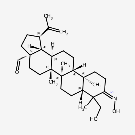 C=C(C)[C@@H]1CC[C@]2(C=O)CC[C@]3(C)[C@H](CC[C@@H]4[C@@]5(C)CC/C(=N/O)C(C)(CO)[C@@H]5CC[C@]43C)[C@@H]12